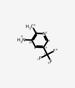 Cc1ncc(C(F)(F)F)cc1N